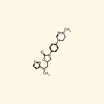 CN1CCN(c2ccc(N3CC(CN(C)c4ccon4)OC3=O)cc2)C=N1